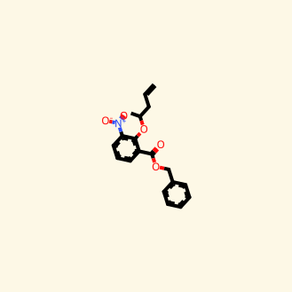 C=CCC(C)Oc1c(C(=O)OCc2ccccc2)cccc1[N+](=O)[O-]